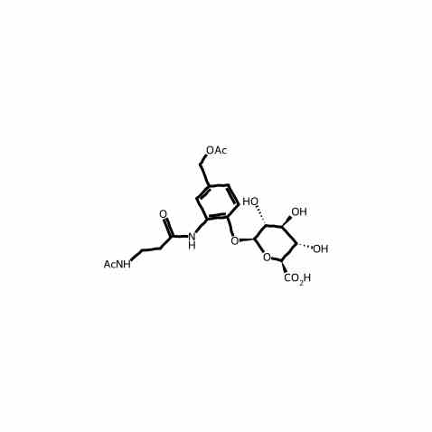 CC(=O)NCCC(=O)Nc1cc(COC(C)=O)ccc1O[C@@H]1O[C@H](C(=O)O)[C@@H](O)[C@H](O)[C@H]1O